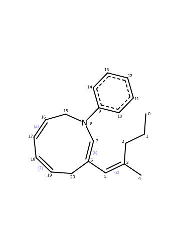 CCC/C(C)=C\C1=C\N(c2ccccc2)C/C=C\C=C/C1